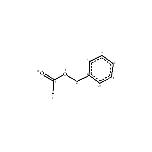 O=C(F)OCc1ccccc1